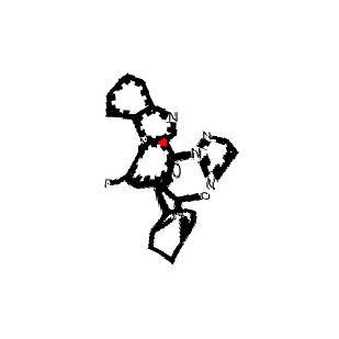 O=C(c1cc(F)ccc1-n1nccn1)N1C2CCC1C(COc1cnc3ccccc3n1)C2